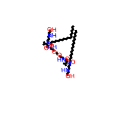 CCCCCCCCCCCCCCCCCC(=O)N(CCCNCCO)C(C(=O)NCCOCCOCCNC(=O)C(C(C)C)N(CCCNCCO)C(=O)CCCCCCCCCCCCCCCCC)C(C)C